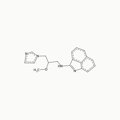 COC(CNC1=Nc2cccc3cccc1c23)Cn1ccnc1